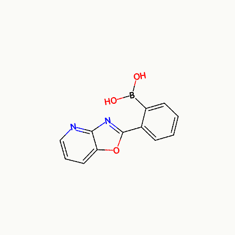 OB(O)c1ccccc1-c1nc2ncccc2o1